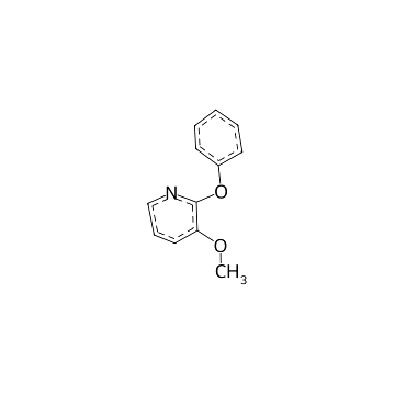 COc1cccnc1Oc1ccccc1